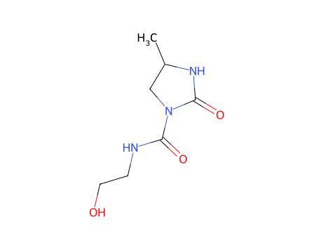 CC1CN(C(=O)NCCO)C(=O)N1